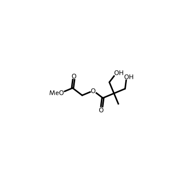 COC(=O)COC(=O)C(C)(CO)CO